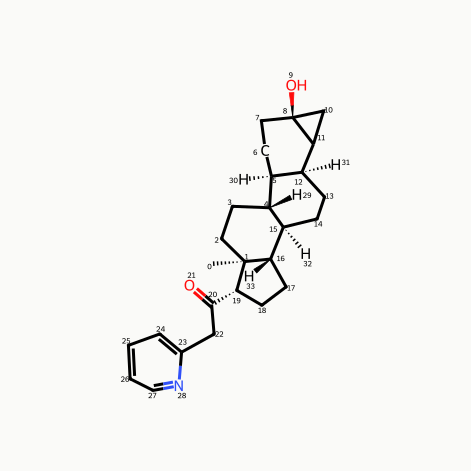 C[C@]12CC[C@@H]3[C@H]4CC[C@]5(O)CC5[C@H]4CC[C@H]3[C@@H]1CC[C@@H]2C(=O)Cc1ccccn1